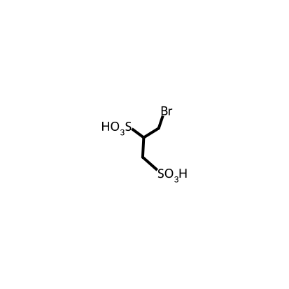 O=S(=O)(O)CC(CBr)S(=O)(=O)O